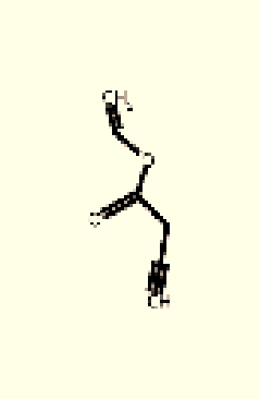 C#CCC(=O)OC=C